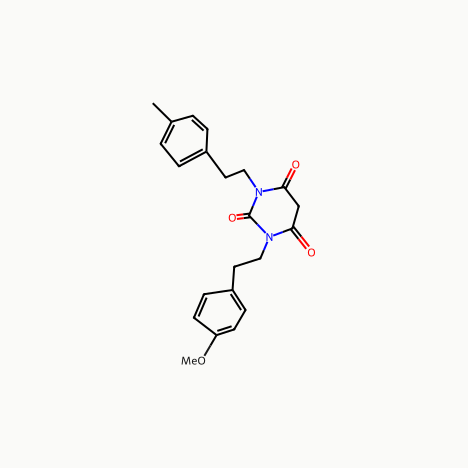 COc1ccc(CCN2C(=O)CC(=O)N(CCc3ccc(C)cc3)C2=O)cc1